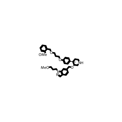 COCCCn1ncc2ccc(CO[C@H]3CNCC[C@@H]3c3ccc(OCCCOCc4ccccc4OC)cc3)cc21